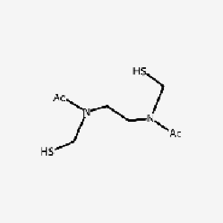 CC(=O)N(CS)CCN(CS)C(C)=O